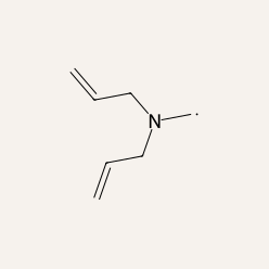 [CH2]N(CC=C)CC=C